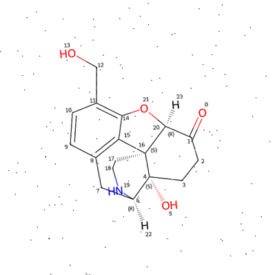 O=C1CC[C@@]2(O)[C@H]3Cc4ccc(CO)c5c4[C@@]2(CCN3)[C@H]1O5